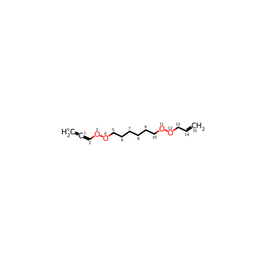 C=C=COOCCCCCCOOCC=C